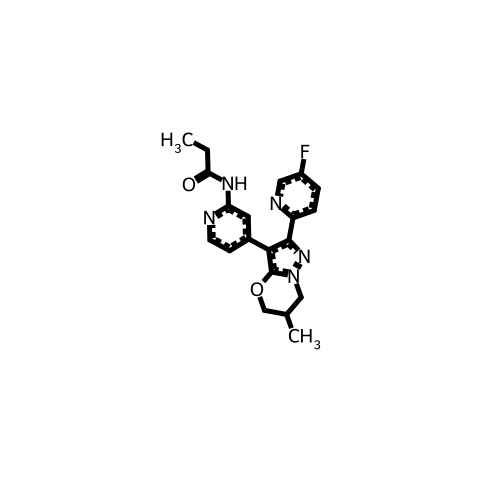 CCC(=O)Nc1cc(-c2c(-c3ccc(F)cn3)nn3c2OCC(C)C3)ccn1